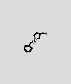 ICC1CCN(OCc2ccccc2)C1